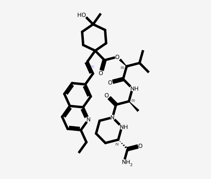 CCc1ccc2ccc(/C=C/C3(C(=O)O[C@H](C(=O)N[C@@H](C)C(=O)N4CCC[C@@H](C(N)=O)N4)C(C)C)CCC(C)(O)CC3)cc2n1